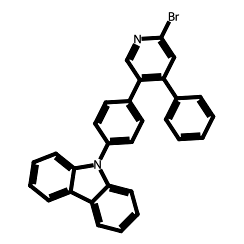 Brc1cc(-c2ccccc2)c(-c2ccc(-n3c4ccccc4c4ccccc43)cc2)cn1